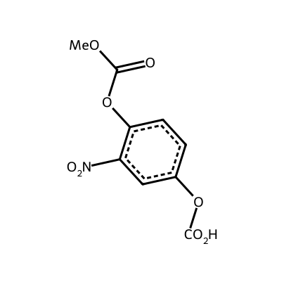 COC(=O)Oc1ccc(OC(=O)O)cc1[N+](=O)[O-]